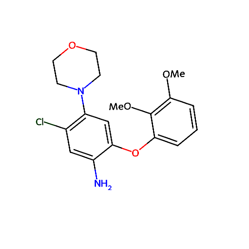 COc1cccc(Oc2cc(N3CCOCC3)c(Cl)cc2N)c1OC